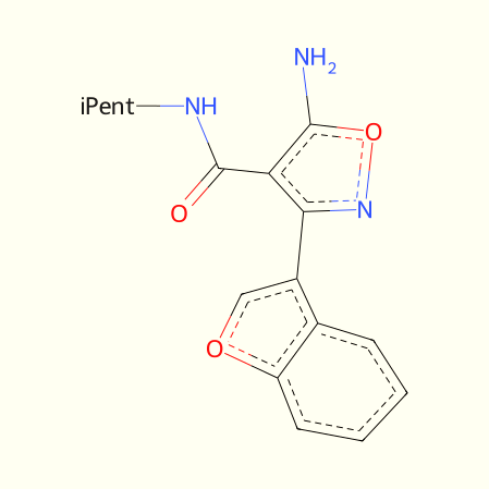 CCCC(C)NC(=O)c1c(-c2coc3ccccc23)noc1N